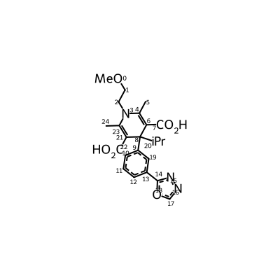 COCCN1C(C)=C(C(=O)O)C(c2cccc(-c3nnco3)c2)(C(C)C)C(C(=O)O)=C1C